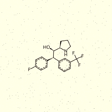 O[C@H]([C@H](c1ccc(F)cc1)c1cccc(C(F)(F)F)c1)[C@H]1CCCN1